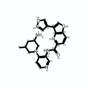 CC1CC(N)CN(c2ccncc2NC(=O)c2ccc3occ(-c4cnoc4)c3n2)C1